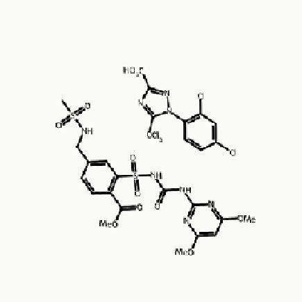 COC(=O)c1ccc(CNS(C)(=O)=O)cc1S(=O)(=O)NC(=O)Nc1nc(OC)cc(OC)n1.O=C(O)c1nc(C(Cl)(Cl)Cl)n(-c2ccc(Cl)cc2Cl)n1